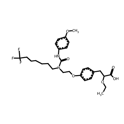 CCOC(Cc1ccc(OCCN(CCCCCCC(F)(F)F)C(=O)Nc2ccc(OC)cc2)cc1)C(=O)O